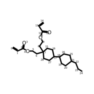 C=CC(=O)OCCC1(CCOC(=O)C=C)CCC(C2CCC(CCC)CC2)CC1